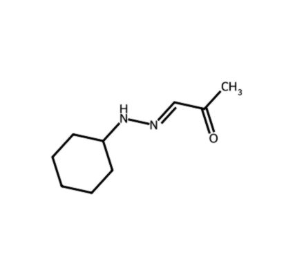 CC(=O)C=NNC1CCCCC1